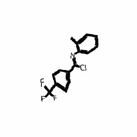 Cc1ccccc1N=C(Cl)c1ccc(C(F)(F)F)cc1